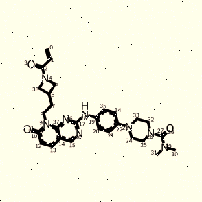 C=CC(=O)N1CC(CCn2c(=O)ccc3cnc(Nc4ccc(N5CCN(C(=O)N(C)C)CC5)cc4)nc32)C1